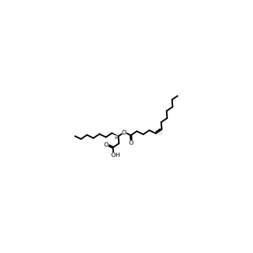 CCCCCC/C=C\CCCC(=O)O[C@H](CCCCCCC)CC(=O)O